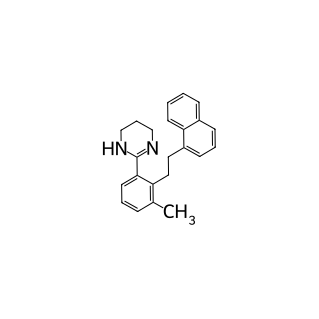 Cc1cccc(C2=NCCCN2)c1CCc1cccc2ccccc12